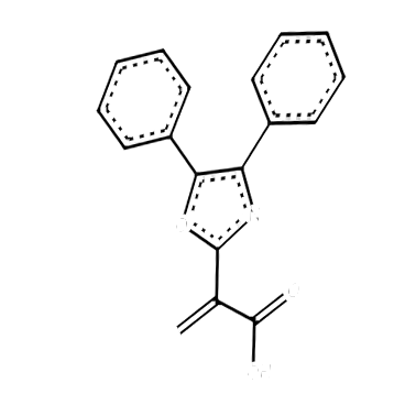 C=C(C(=O)O)c1nc(-c2ccccc2)c(-c2ccccc2)o1